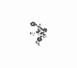 CCC(C)C(CN(CCc1cccs1)C(=S)NCc1ccccc1)NC(=O)Cc1cncn1Cc1ccc([N+](=O)[O-])cc1